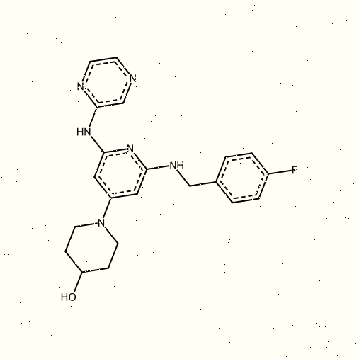 OC1CCN(c2cc(NCc3ccc(F)cc3)nc(Nc3cnccn3)c2)CC1